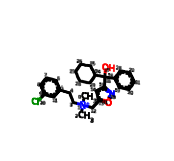 C[N+](C)(CCc1cccc(Cl)c1)Cc1cc(C(O)(c2ccccc2)C2CCCCC2)no1